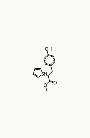 COC(=O)C(Cc1ccc(O)cc1)[SH]1C=CC=C1